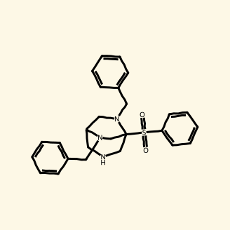 O=S(=O)(c1ccccc1)C12CNCC(CN1Cc1ccccc1)N(Cc1ccccc1)C2